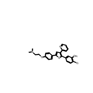 CN(C)CCOc1ccc(-c2cc(-c3ccccn3)c(-c3ccc(Cl)c(O)c3)o2)cc1